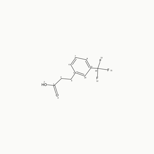 O=C(O)CCc1c[c]cc(C(F)(F)F)c1